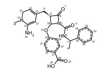 CC(NC(=O)N1C(=O)[C@H](CC2=CCN(C)C(N)=C2)C1Oc1ccc(C(=O)O)cc1)c1ccccc1